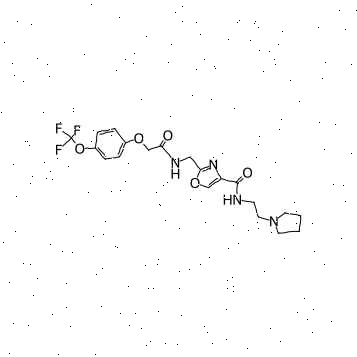 O=C(COc1ccc(OC(F)(F)F)cc1)NCc1nc(C(=O)NCCN2CCCC2)co1